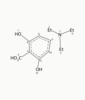 CCN(CC)CC.O=C(O)c1c(O)cccc1O